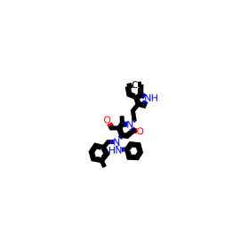 Cc1cccc(CN(Nc2ccccc2)c2cc(=O)n(CCc3c[nH]c4ccccc34)c(C)c2C=O)c1